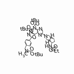 CCS(=O)(=O)NC1CC[C@H]2CN(c3cnc(N(C(=O)OC(C)(C)C)C(=O)OC(C)(C)C)c(-c4nnc(-c5ccc(CN(C)C(=O)OC(C)(C)C)cc5)o4)n3)C[C@@H]12